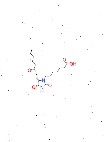 CCCCCC(=O)CC=C1C(=O)NC(=O)N1CCCCCCC(=O)O